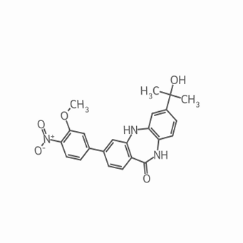 COc1cc(-c2ccc3c(c2)Nc2cc(C(C)(C)O)ccc2NC3=O)ccc1[N+](=O)[O-]